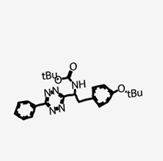 CC(C)(C)OC(=O)NC(Cc1ccc(OC(C)(C)C)cc1)c1nnc(-c2ccccc2)nn1